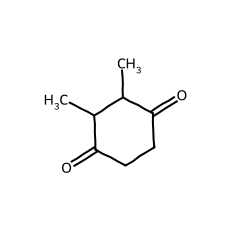 CC1C(=O)CCC(=O)C1C